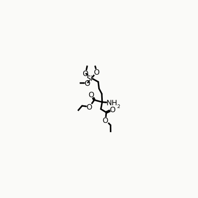 CCOC(=O)CC(N)(CCC[Si](OC)(OC)OC)C(=O)OCC